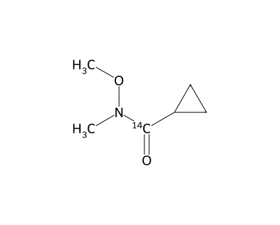 CON(C)[14C](=O)C1CC1